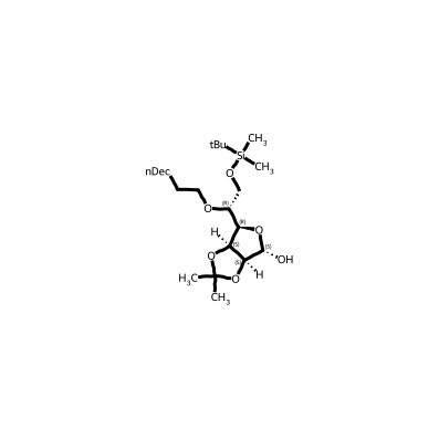 CCCCCCCCCCCCO[C@H](CO[Si](C)(C)C(C)(C)C)[C@H]1O[C@H](O)[C@H]2OC(C)(C)O[C@H]21